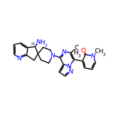 Cc1nc(N2CCC3(CC2)Cc2ncccc2[C@H]3N)c2ccnn2c1-c1cccn(C)c1=O